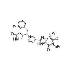 CCCn1c(=O)c2[nH]c(-c3cnn(C(Cc4cccc(F)c4)C4CNC(=O)C4)c3)nc2n(CCC)c1=O